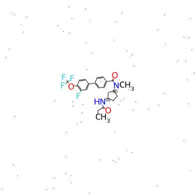 CCC(=O)N[C@H]1CC[C@@H](N(C)C(=O)c2ccc(-c3ccc(OC(F)(F)F)c(F)c3)cc2)C1